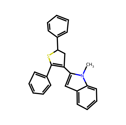 Cn1c(C2=C(c3ccccc3)SC(c3ccccc3)C2)cc2ccccc21